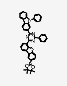 CC1(C)OB(c2ccc3sc4c(-c5nc(-c6ccccc6)nc(-c6ccc7c8ccccc8n(-c8ccccc8)c7c6)n5)cccc4c3c2)OC1(C)C